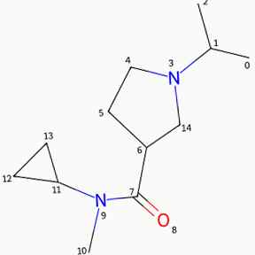 CC(C)N1CCC(C(=O)N(C)C2CC2)C1